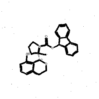 CC1([C@@H]2OCCc3cccc(O)c32)CCCN1C(=O)OC1c2ccccc2-c2ccccc21